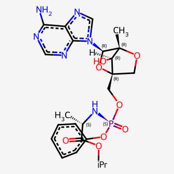 CC(C)OC(=O)[C@H](C)N[P@](=O)(OC[C@]12CO[C@](C)([C@@H]1O)[C@H](n1cnc3c(N)ncnc31)O2)Oc1ccccc1